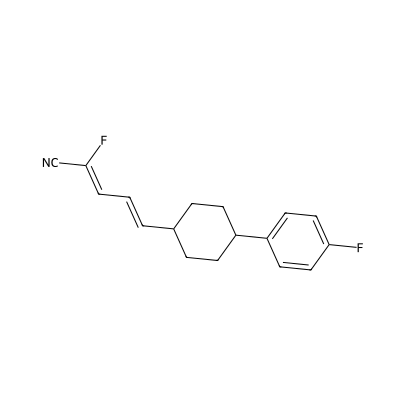 N#CC(F)=CC=CC1CCC(c2ccc(F)cc2)CC1